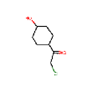 O=C(CCl)C1CCC(O)CC1